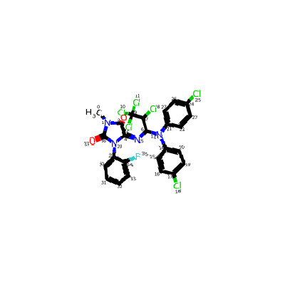 CN1C(=O)/C(=N\C(C(Cl)C(Cl)(Cl)Cl)N(c2ccc(Cl)cc2)c2ccc(Cl)cc2)N(c2ccccc2F)C1=O